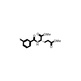 COC(=O)CC[C@H](NC(=O)c1cccc(I)c1)C(=O)OC